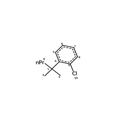 CCCC(C)(C)c1ccccc1Cl